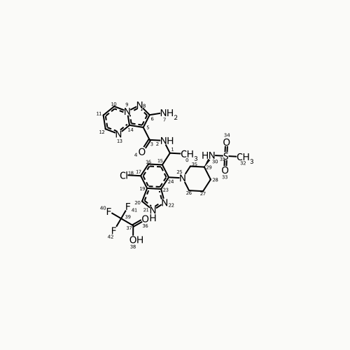 CC(NC(=O)c1c(N)nn2cccnc12)c1cc(Cl)c2c[nH]nc2c1N1CCC[C@H](NS(C)(=O)=O)C1.O=C(O)C(F)(F)F